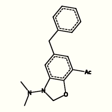 CC(=O)c1cc(Cc2ccccc2)cc2c1OCN2N(C)C